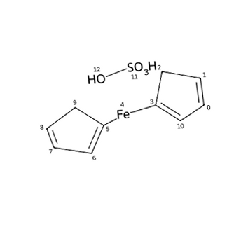 C1=CC[C]([Fe][C]2=CC=CC2)=C1.O=S(=O)(O)O